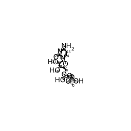 CP(=O)(O)OP(=O)(O)OCC1OC(n2ccc(N)nc2=O)C(O)C1O